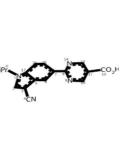 CC(C)n1cc(C#N)c2cc(-c3ncc(C(=O)O)cn3)ccc21